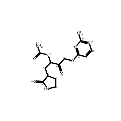 NC(=O)OC(CC1CCNC1=O)C(=O)COc1ccnc(C(F)(F)F)n1